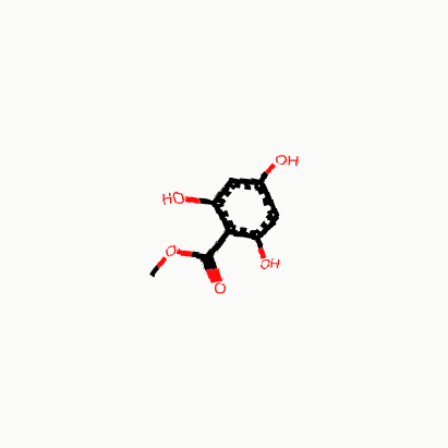 COC(=O)c1c(O)cc(O)cc1O